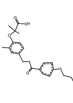 CCCSc1ccc(C(=O)CCc2ccc(OC(C)(C)C(=O)O)c(C)c2)cc1